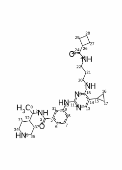 CC(NC(=O)c1cccc(Nc2ncc(C3CC3)c(NCCCNC(=O)C3CCC3)n2)c1)C1CCNCC1